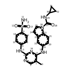 Cc1cnc(Nc2ccc(S(N)(=O)=O)cc2)nc1Nc1ccc2c(ccn2C(=O)NC2CC2)c1